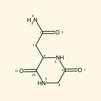 NC(=O)CC1NC(=O)CNC1=O